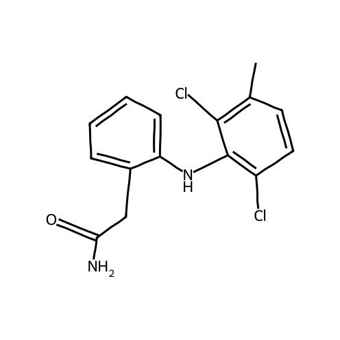 Cc1ccc(Cl)c(Nc2ccccc2CC(N)=O)c1Cl